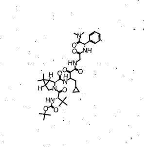 CN(C)C(=O)[C@@H](NC(=O)CNC(=O)C(=O)C(CC1CC1)NC(=O)[C@@H]1[C@@H]2[C@H](CN1C(=O)[C@@H](NC(=O)OC(C)(C)C)C(C)(C)C)C2(C)C)c1ccccc1